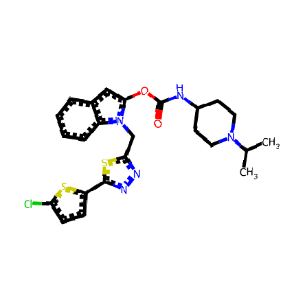 CC(C)N1CCC(NC(=O)Oc2cc3ccccc3n2Cc2nnc(-c3ccc(Cl)s3)s2)CC1